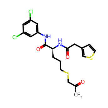 O=C(Cc1ccsc1)N[C@@H](CCCSCC(=O)C(F)(F)F)C(=O)Nc1cc(Cl)cc(Cl)c1